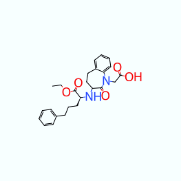 CCOC(=O)[C@H](CCCc1ccccc1)N[C@H]1CCc2ccccc2N(CC(=O)O)C1=O